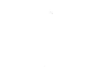 Cc1cc(C#N)ccc1-c1cccc(C=O)c1